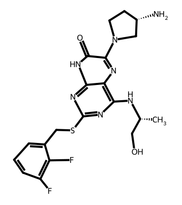 C[C@H](CO)Nc1nc(SCc2cccc(F)c2F)nc2[nH]c(=O)c(N3CC[C@H](N)C3)nc12